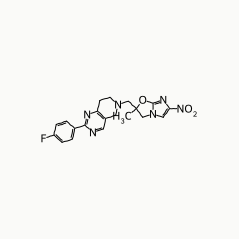 CC1(CN2CCc3nc(-c4ccc(F)cc4)ncc3C2)Cn2cc([N+](=O)[O-])nc2O1